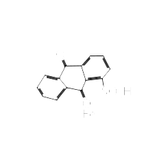 O=C1c2ccccc2C(=O)c2c1cccc2S(=O)(=O)O.[Fe]